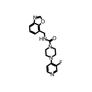 O=C(NCc1cccc2ncoc12)N1CCN(c2ccncc2F)CC1